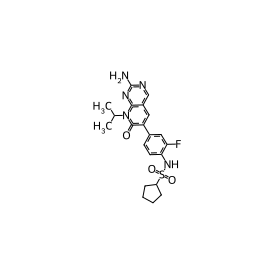 CC(C)n1c(=O)c(-c2ccc(NS(=O)(=O)C3CCCC3)c(F)c2)cc2cnc(N)nc21